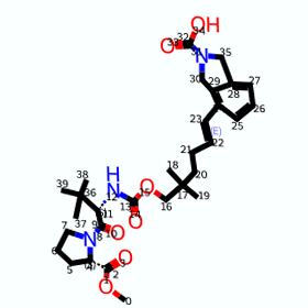 COC(=O)[C@@H]1CCCN1C(=O)[C@@H](NC(=O)OCC(C)(C)CC/C=C/c1cccc2c1CN(C(=O)O)C2)C(C)(C)C